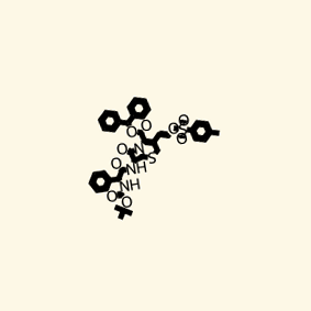 Cc1ccc(S(=O)(=O)OC=CC2=C(C(=O)OC(c3ccccc3)c3ccccc3)N3C(=O)C(NC(=O)C(NC(=O)OC(C)(C)C)c4ccccc4)C3SC2)cc1